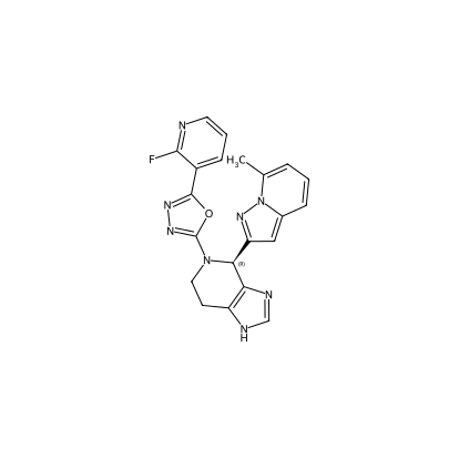 Cc1cccc2cc([C@H]3c4nc[nH]c4CCN3c3nnc(-c4cccnc4F)o3)nn12